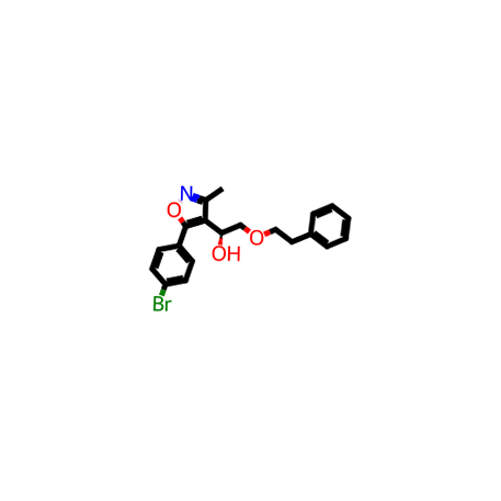 Cc1noc(-c2ccc(Br)cc2)c1[C@H](O)COCCc1ccccc1